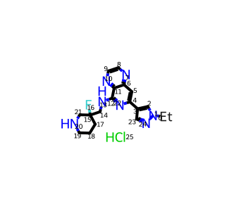 CCn1cc(-c2cc3nccnc3c(NCC3(F)CCCNC3)n2)cn1.Cl